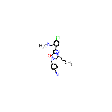 CCCCC1CN(Cc2ccc(C#N)cc2)C(=O)c2cc(-c3ccc(Cl)cc3CNC)nn21